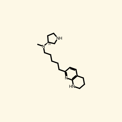 CN(CCCCCc1ccc2c(n1)NCCC2)[C@H]1CCNC1